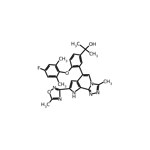 Cc1nc(-c2cc3c(-c4cc(C(C)(C)O)ccc4Oc4c(C)cc(F)cc4C)cn4c(C)nnc4c3[nH]2)no1